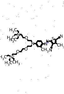 CC[N+](CC)(CC)CCOCCOCCN(CCOCC[N+](CC)(CC)CC)c1ccc(/N=N/c2sc(C#N)c(C)c2C#N)c(C)c1